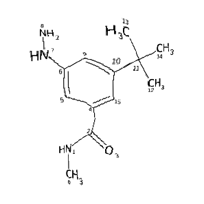 CNC(=O)c1cc(NN)cc(C(C)(C)C)c1